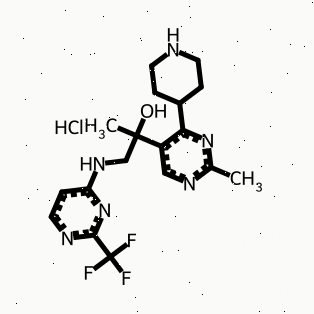 Cc1ncc(C(C)(O)CNc2ccnc(C(F)(F)F)n2)c(C2CCNCC2)n1.Cl